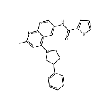 Cc1cc(N2CCC(c3ccccc3)C2)c2cc(NC(=O)c3ccco3)ccc2n1